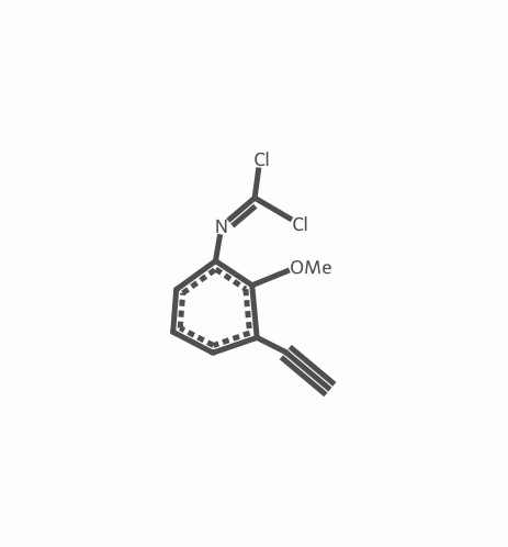 C#Cc1cccc(N=C(Cl)Cl)c1OC